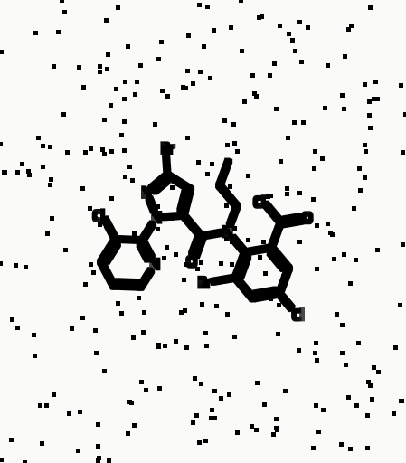 CCCN(C(=O)c1cc(Br)nn1-c1ncccc1Cl)c1c(Br)cc(Cl)cc1C(=O)Cl